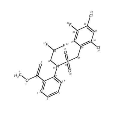 COC(=O)c1nccnc1N(CC(F)F)S(=O)(=O)Cc1cc(F)c(Cl)cc1Cl